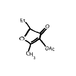 CCC1OC(C)=C(OC(C)=O)C1=O